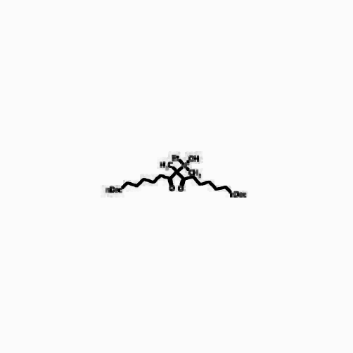 CCCCCCCCCCCCCCCC(=O)C(C)(C(=O)CCCCCCCCCCCCCCC)[N+](C)(O)CC